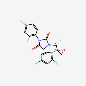 C[C@@H](N1CC(=O)N(c2ccc(F)cc2F)C1=O)[C@]1(c2ccc(F)cc2F)CO1